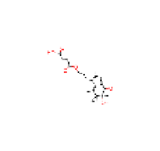 CC1=C(CCCOC(=O)CCC(=O)O)C2=C(C)C3(CC3)[C@@](C)(O)C(=O)C2=C1